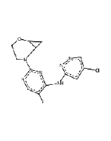 Fc1cnc(N2CCOC3CC32)nc1Nc1cc(Cl)cnn1